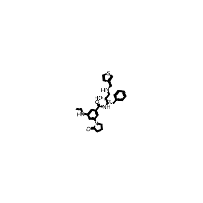 CCNc1cc(C(=O)N[C@@H](Cc2ccccc2)[C@H](O)CNCc2ccsc2)cc(N2CCCC2=O)c1